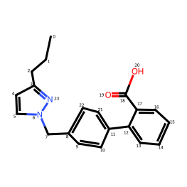 CCCc1ccn(Cc2ccc(-c3ccccc3C(=O)O)cc2)n1